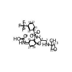 CC1(NCC2CN(S(=O)(=O)c3cccc(C(F)(F)F)c3)c3cc(NC(=O)O)ccc3O2)COC1